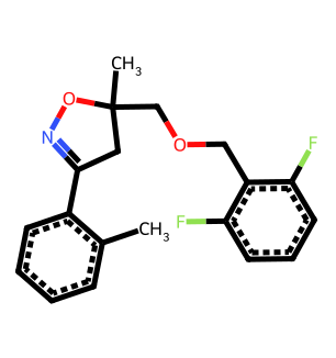 Cc1ccccc1C1=NOC(C)(COCc2c(F)cccc2F)C1